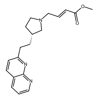 COC(=O)/C=C/CN1CC[C@@H](CCc2ccc3cccnc3n2)C1